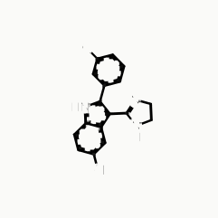 Cc1cccc(-c2[nH]c3ccc(Cl)cc3c2C2=NCCN2)c1